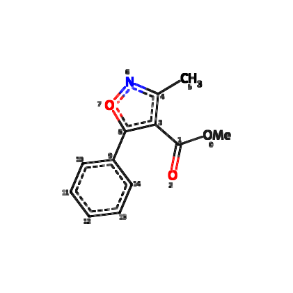 COC(=O)c1c(C)noc1-c1ccccc1